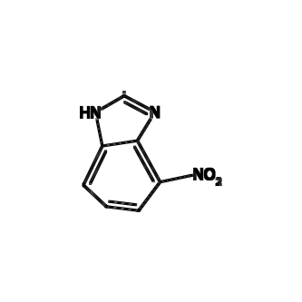 O=[N+]([O-])c1cccc2[nH][c]nc12